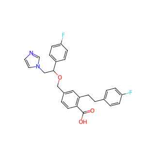 O=C(O)c1ccc(COC(Cn2ccnc2)c2ccc(F)cc2)cc1CCc1ccc(F)cc1